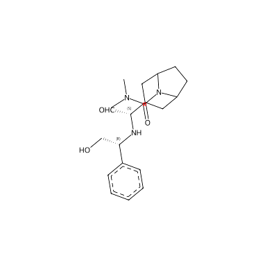 CN(C)C(=O)N1C2CCC1CC([C@@H](C=O)N[C@@H](CO)c1ccccc1)C2